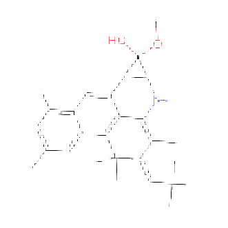 COC1(O)C2c3cc4c(C)cc(C)cc4c4c3C(=C(C)/C(=C\C(C)(C)C)C4(C)C)N(C)C21